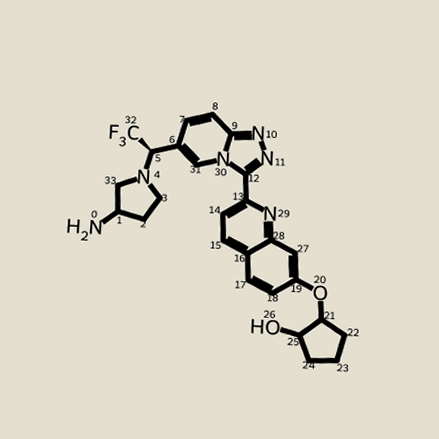 NC1CCN([C@H](c2ccc3nnc(-c4ccc5ccc(OC6CCCC6O)cc5n4)n3c2)C(F)(F)F)C1